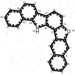 c1ccc2cc3c(cc2c1)oc1ccc2c4ccc5ccccc5c4[nH]c2c13